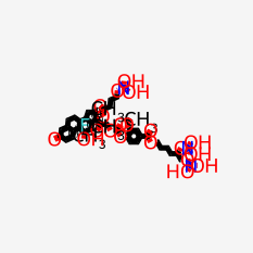 COc1cc(C(=O)OCCCCC(CON(O)O)ON(O)O)ccc1OC(=O)OCC(=O)[C@@]1(OC(=O)CCCON(O)O)[C@H](C)CC2C3CCC4=CC(=O)C=C[C@]4(C)[C@@]3(F)C(O)C[C@@]21C